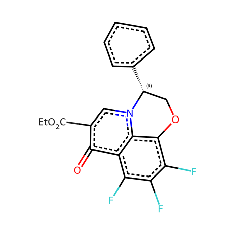 CCOC(=O)c1cn2c3c(c(F)c(F)c(F)c3c1=O)OC[C@H]2c1ccccc1